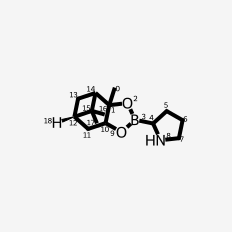 CC12OB(C3CCCN3)OC1C[C@@H]1CC2C1(C)C